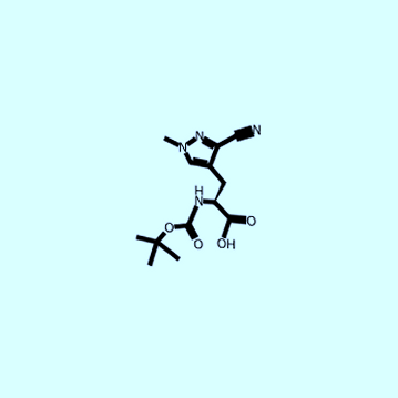 Cn1cc(C[C@H](NC(=O)OC(C)(C)C)C(=O)O)c(C#N)n1